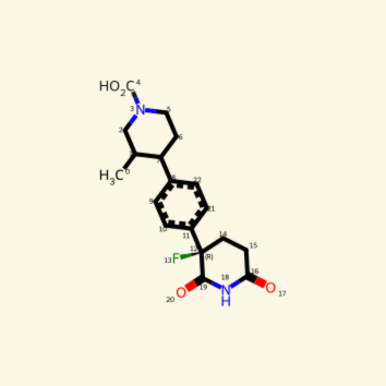 CC1CN(C(=O)O)CCC1c1ccc([C@]2(F)CCC(=O)NC2=O)cc1